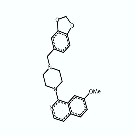 COc1ccc2ccnc(N3CCN(Cc4ccc5c(c4)OCO5)CC3)c2c1